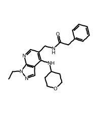 CCn1ncc2c(NC3CCOCC3)c(CNC(=O)Cc3ccccc3)cnc21